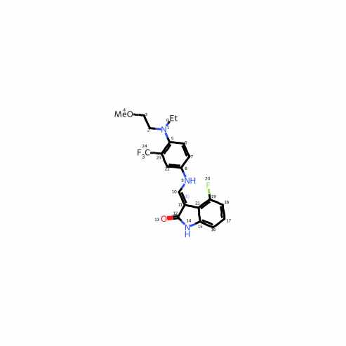 CCN(CCOC)c1ccc(N/C=C2/C(=O)Nc3cccc(F)c32)cc1C(F)(F)F